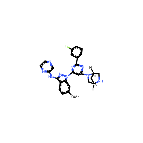 COc1ccc2c(Nc3cnccn3)nn(-c3cc(N4C[C@@H]5C[C@H]4CN5)nc(-c4cccc(F)c4)n3)c2c1